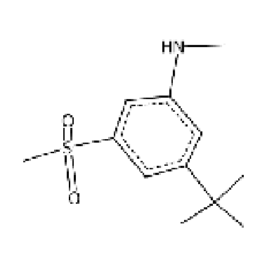 CNc1cc(C(C)(C)C)cc(S(C)(=O)=O)c1